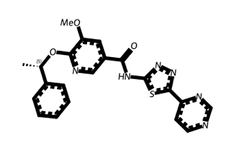 COc1cc(C(=O)Nc2nnc(-c3ccncn3)s2)cnc1O[C@@H](C)c1ccccc1